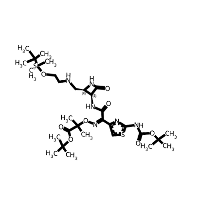 CC(C)(C)OC(=O)Nc1nc(C(=NOC(C)(C)C(=O)OC(C)(C)C)C(=O)N[C@@H]2C(=O)N[C@@H]2CNCCO[Si](C)(C)C(C)(C)C)cs1